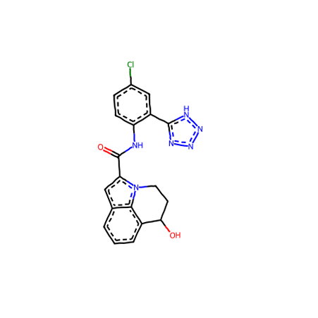 O=C(Nc1ccc(Cl)cc1-c1nnn[nH]1)c1cc2cccc3c2n1CCC3O